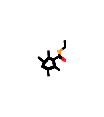 CCPC(=O)c1c(C)c(C)cc(C)c1C